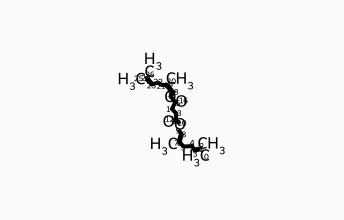 CC(C)=CCCC(C)=CCOC(=O)CCC(=O)OC=C(C)CCC=C(C)C